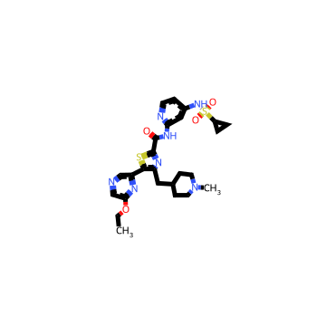 CCOc1cncc(-c2sc(C(=O)Nc3cc(NS(=O)(=O)C4CC4)ccn3)nc2CC2CCN(C)CC2)n1